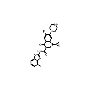 Cc1cccc2sc(NC(=O)c3cn(C4CC4)c4cc(N5CCNCC5)c(F)cc4c3=O)nc12